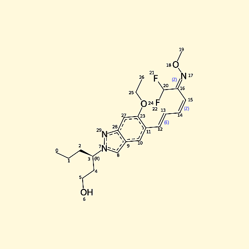 CCC[C@H](CCO)n1cc2cc(/C=C/C=C\C(=N\OC)C(F)F)c(OCC)cc2n1